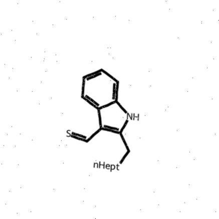 CCCCCCCCc1[nH]c2ccccc2c1C=S